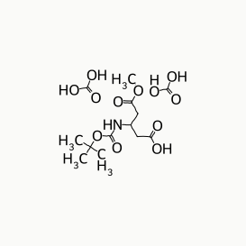 COC(=O)CC(CC(=O)O)NC(=O)OC(C)(C)C.O=C(O)O.O=C(O)O